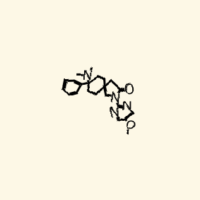 COc1cnc(N2CC3(CCC(c4ccccc4)(N(C)C)CC3)CC2=O)nc1